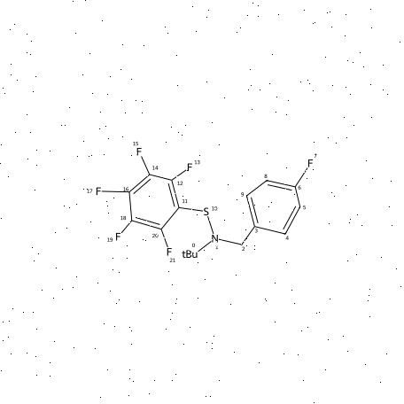 CC(C)(C)N(Cc1ccc(F)cc1)Sc1c(F)c(F)c(F)c(F)c1F